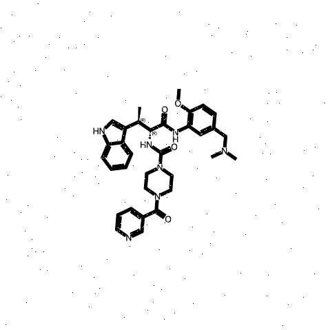 COc1ccc(CN(C)C)cc1NC(=O)[C@H](NC(=O)N1CCN(C(=O)c2cccnc2)CC1)[C@H](C)c1c[nH]c2ccccc12